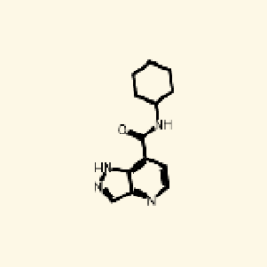 O=C(NC1CCCCC1)c1ccnc2cn[nH]c12